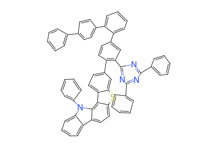 c1ccc(-c2ccc(-c3ccccc3-c3ccc(-c4ccc5c(c4)sc4ccc6c7ccccc7n(-c7ccccc7)c6c45)c(-c4nc(-c5ccccc5)nc(-c5ccccc5)n4)c3)cc2)cc1